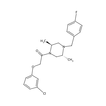 C[C@@H]1CN(C(=O)COc2cccc(Cl)c2)[C@@H](C)CN1Cc1ccc(F)cc1